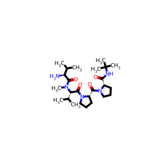 CC(C)[C@H](N)C(=O)N(C)[C@H](C(=O)N1CCC[C@H]1C(=O)N1CCC[C@H]1C(=O)NC(C)(C)C)C(C)C